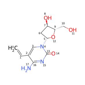 C=Cc1cn([C@@H]2C[C@@H](O)[C@H](CO)O2)c(=O)nc1N